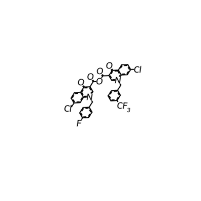 O=C(OC(=O)c1cn(Cc2cccc(C(F)(F)F)c2)c2cc(Cl)ccc2c1=O)c1cn(Cc2ccc(F)cc2)c2cc(Cl)ccc2c1=O